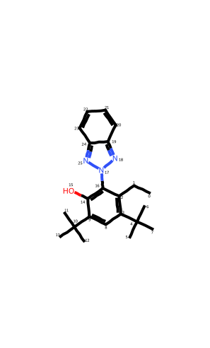 CCc1c(C(C)(C)C)cc(C(C)(C)C)c(O)c1-n1nc2ccccc2n1